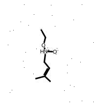 CCO[NH+]([O-])CC=C(C)C